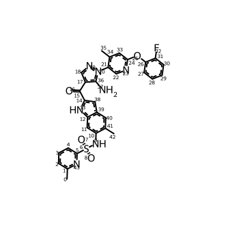 Cc1cccc(S(=O)(=O)Nc2cc3[nH]c(C(=O)c4cnn(-c5cnc(Oc6ccccc6F)cc5C)c4N)cc3cc2C)n1